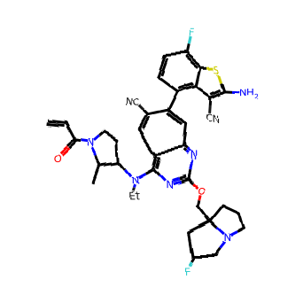 C=CC(=O)N1CCC(N(CC)c2nc(OCC34CCCN3CC(F)C4)nc3cc(-c4ccc(F)c5sc(N)c(C#N)c45)c(C#N)cc23)C1C